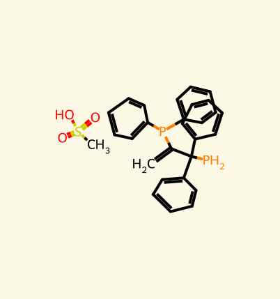 C=C(P(c1ccccc1)c1ccccc1)C(P)(c1ccccc1)c1ccccc1.CS(=O)(=O)O